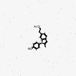 CC(=O)OCCc1ccc2cc(C)n(-c3ccc(C#N)cc3)c2c1